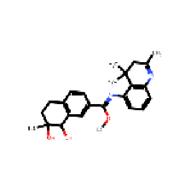 CCOC(=Nc1cccc2c1C(C)(C)CC(C)=N2)c1ccc2c(c1)C(O)C(O)(C(F)(F)F)CC2